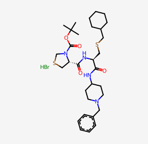 Br.CC(C)(C)OC(=O)N1CSC[C@H]1C(=O)N[C@@H](CSCC1CCCCC1)C(=O)NC1CCN(Cc2ccccc2)CC1